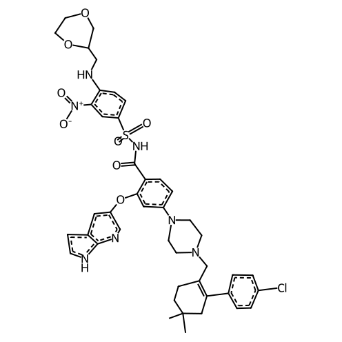 CC1(C)CCC(CN2CCN(c3ccc(C(=O)NS(=O)(=O)c4ccc(NCC5COCCO5)c([N+](=O)[O-])c4)c(Oc4cnc5[nH]ccc5c4)c3)CC2)=C(c2ccc(Cl)cc2)C1